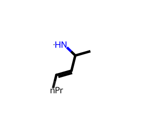 CCC/C=C/C(C)[NH]